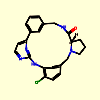 O=C1NCc2cccc(c2)-c2ccnc(n2)Nc2cc(ccc2Cl)CN2CCC[C@@H]12